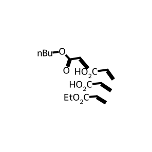 C=CC(=O)O.C=CC(=O)O.C=CC(=O)OCC.C=CC(=O)OCCCC